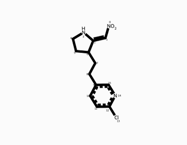 O=[N+]([O-])C=C1NCCC1CCc1ccc(Cl)nc1